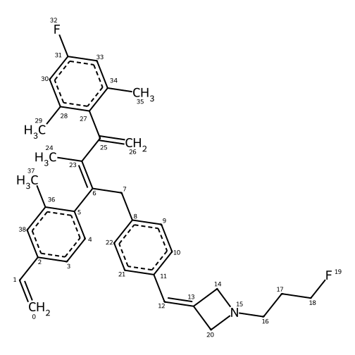 C=Cc1ccc(/C(Cc2ccc(C=C3CN(CCCF)C3)cc2)=C(\C)C(=C)c2c(C)cc(F)cc2C)c(C)c1